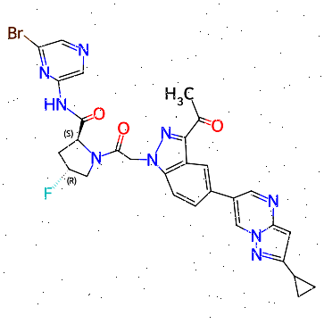 CC(=O)c1nn(CC(=O)N2C[C@H](F)C[C@H]2C(=O)Nc2cncc(Br)n2)c2ccc(-c3cnc4cc(C5CC5)nn4c3)cc12